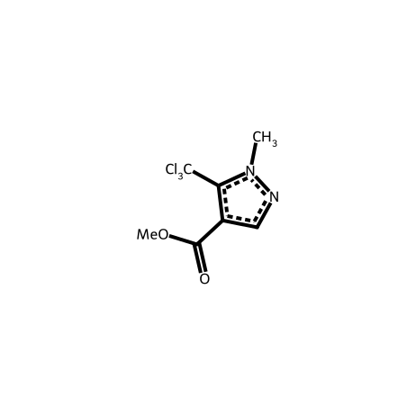 COC(=O)c1cnn(C)c1C(Cl)(Cl)Cl